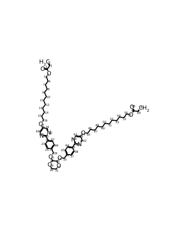 C=CC(=O)OCCCCCCCCCCCCOc1cnc(-c2ccc(CO[C@@H]3OCCO[C@H]3OCc3ccc(-c4ncc(OCCCCCCCCCCCCOC(=O)C=C)cn4)cc3)cc2)nc1